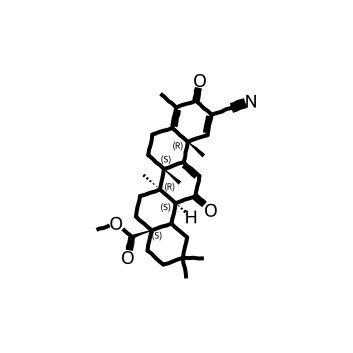 COC(=O)[C@]12CCC(C)(C)CC1[C@@H]1C(=O)C=C3[C@@]4(C)C=C(C#N)C(=O)C(C)=C4CC[C@@]3(C)[C@]1(C)CC2